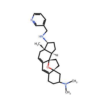 CN(C)C1CCC2=CC3=CC[C@]4(C)[C@@H](NCc5cccnc5)CC[C@H]4[C@@]34CC[C@]2(C1)O4